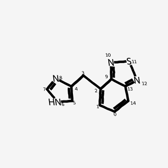 c1cc(Cc2c[nH]cn2)c2nsnc2c1